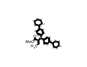 CC=C(C(=O)OC)[I+](c1ccc(C2CCCCC2)cc1)c1ccc(C2CCCCC2)cc1